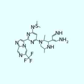 CC1CN(c2cc(N=S(C)C)nc(-c3cnc4cnc(C(F)(F)F)cn34)n2)C(C)C(/C(C=N)=C/N)N1